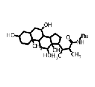 CCC(C)NC(=O)C(C)C(C)C1CCC2C3C(O)CC4CC(O)CCC4(C)C3CC(O)C12C